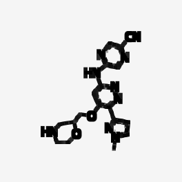 Cn1ccc(-c2nnc(Nc3cnc(C#N)cn3)cc2OCC2CNCCO2)n1